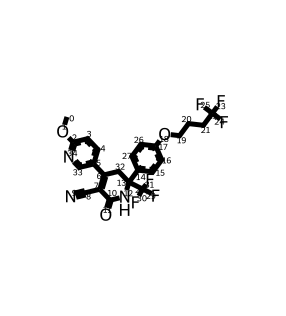 COc1ccc(C2=C(C#N)C(=O)NC(c3ccc(OCCCC(F)(F)F)cc3)(C(F)(F)F)C2)cn1